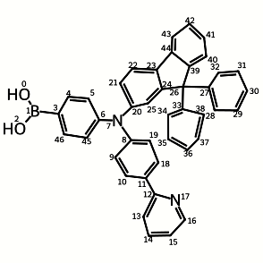 OB(O)c1ccc(N(c2ccc(-c3ccccn3)cc2)c2ccc3c(c2)C(c2ccccc2)(c2ccccc2)c2ccccc2-3)cc1